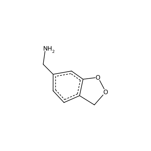 NCc1ccc2c(c1)OOC2